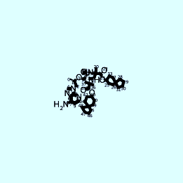 C[C@H](Cn1cnc2c(N)ccnc21)OCP(=O)(NC(C)(C)C(=O)OC1CCC2(CCCC2)CC1)NC(C)(C)C(=O)OC1CCC2(CCCC2)CC1